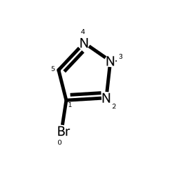 BrC1=N[N]N=C1